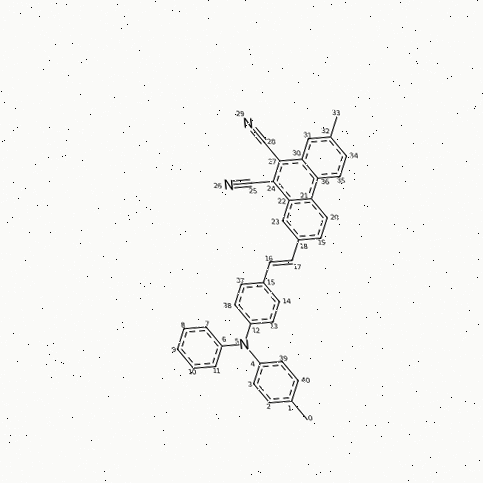 Cc1ccc(N(c2ccccc2)c2ccc(C=Cc3ccc4c(c3)c(C#N)c(C#N)c3cc(C)ccc34)cc2)cc1